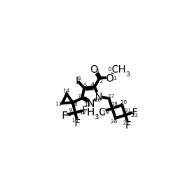 COC(=O)c1c(I)c(C2(C(F)(F)F)CC2)nn1CC1(C)CC(F)(F)C1